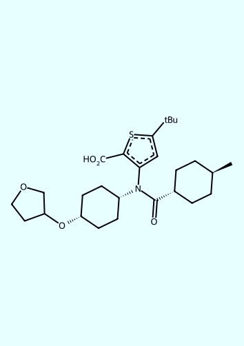 CC(C)(C)c1cc(N(C(=O)[C@H]2CC[C@H](C)CC2)[C@H]2CC[C@@H](OC3CCOC3)CC2)c(C(=O)O)s1